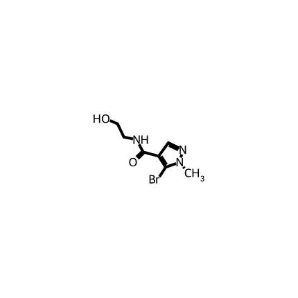 Cn1ncc(C(=O)NCCO)c1Br